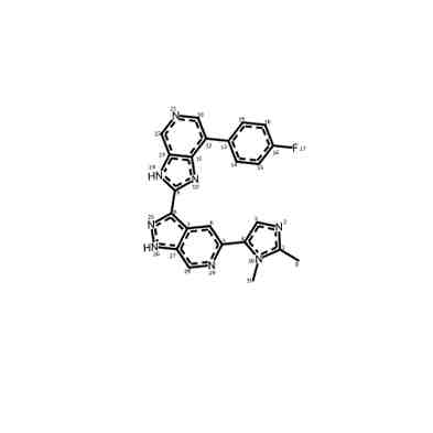 Cc1ncc(-c2cc3c(-c4nc5c(-c6ccc(F)cc6)cncc5[nH]4)n[nH]c3cn2)n1C